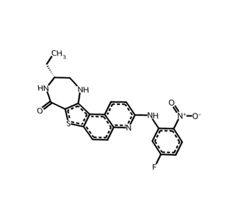 CC[C@@H]1CNc2c(sc3ccc4nc(Nc5cc(F)ccc5[N+](=O)[O-])ccc4c23)C(=O)N1